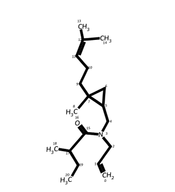 C=CCN(CC1CC1(C)CCC=C(C)C)C(=O)C(C)CC